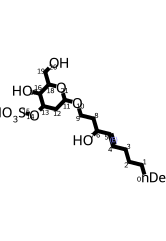 CCCCCCCCCCCCC/C=C/C(O)CCOC1CC(OS(=O)(=O)O)C(O)C(CO)O1